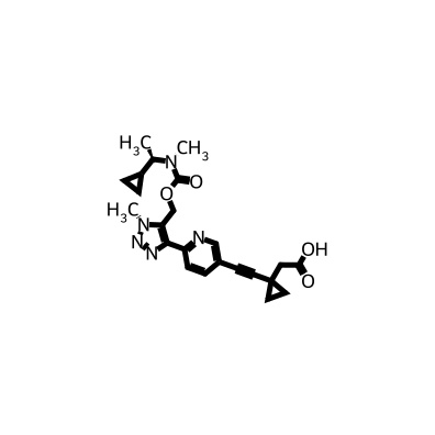 C[C@H](C1CC1)N(C)C(=O)OCc1c(-c2ccc(C#CC3(CC(=O)O)CC3)cn2)nnn1C